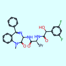 CC(C)[C@H](NC(=O)C(O)c1cc(F)cc(F)c1)C(=O)NC1N=C(c2ccccc2)c2ccccc2N(C)C1=O